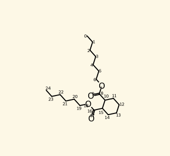 CCCCCCCOC(=O)C1CCCCC1C(=O)OCCCCCC